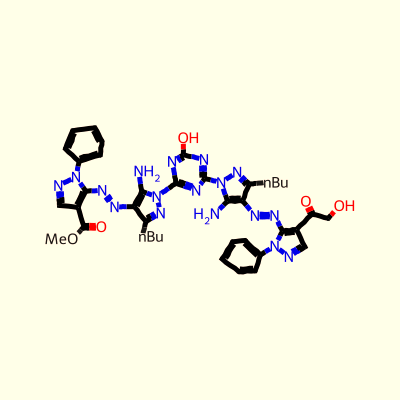 CCCCc1nn(-c2nc(O)nc(-n3nc(CCCC)c(/N=N/c4c(C(=O)OC)cnn4-c4ccccc4)c3N)n2)c(N)c1/N=N/c1c(C(=O)CO)cnn1-c1ccccc1